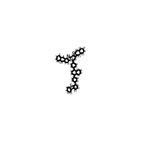 c1ccc2cc3c(ccc4c3nc3c5sc6cc7ccccc7cc6c5cc(-c5ccc(-c6ccc(-c7ccc(-c8cccc9c8sc8ccccc89)cc7)c7ccccc67)cc5)n43)cc2c1